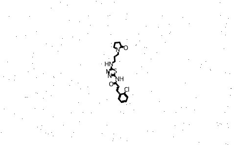 O=C(C=Cc1ccccc1Cl)Nc1nnc(NCCCN2CCCC2=O)s1